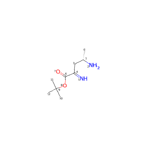 C[C@H](N)CC(=N)C(=O)OC(C)(C)C